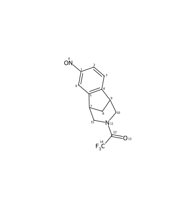 O=Nc1ccc2c(c1)C1CC2CN(C(=O)C(F)(F)F)C1